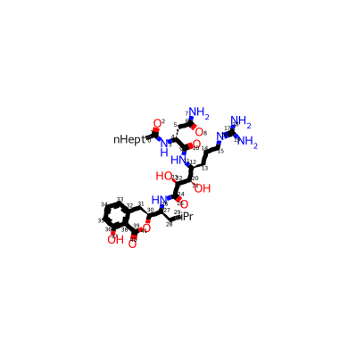 CCCCCCCC(=O)N[C@H](CC(N)=O)C(=O)N[C@@H](CCCN=C(N)N)[C@H](O)[C@H](O)C(=O)N[C@@H](CC(C)C)[C@@H]1Cc2cccc(O)c2C(=O)O1